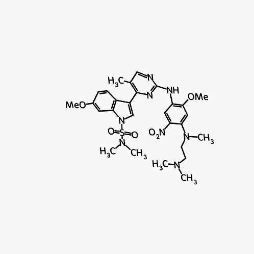 COc1ccc2c(-c3nc(Nc4cc([N+](=O)[O-])c(N(C)CCN(C)C)cc4OC)ncc3C)cn(S(=O)(=O)N(C)C)c2c1